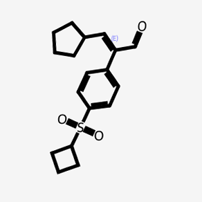 O=C/C(=C/C1CCCC1)c1ccc(S(=O)(=O)C2CCC2)cc1